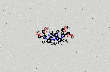 CCOc1ccc(-c2cn(-c3c(C)cc(C)c4c3c3nc(C)ccc3n4Cn3c4ccc(C)nc4c4c(-n5cc(-c6ccc(OCC)o6)c(-c6ccc(OCC)o6)c5)c(C)cc(C)c43)cc2-c2ccc(OCC)o2)o1